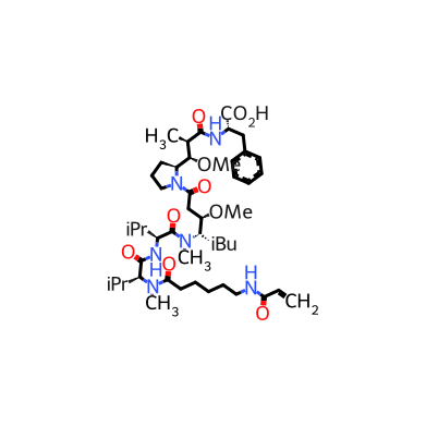 C=CC(=O)NCCCCCC(=O)N(C)[C@H](C(=O)N[C@H](C(=O)N(C)[C@@H]([C@@H](C)CC)[C@@H](CC(=O)N1CCC[C@H]1[C@H](OC)[C@@H](C)C(=O)N[C@@H](Cc1ccccc1)C(=O)O)OC)C(C)C)C(C)C